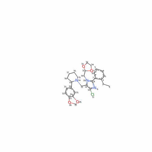 CCc1ccccc1-c1nc(Cl)c(CN2CCCCC2c2ccc3c(c2)OCO3)n1CC1OCCO1